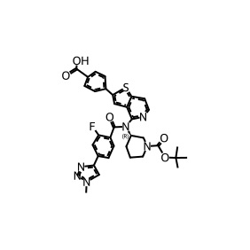 Cn1cc(-c2ccc(C(=O)N(c3nccc4sc(-c5ccc(C(=O)O)cc5)cc34)[C@@H]3CCCN(C(=O)OC(C)(C)C)C3)c(F)c2)nn1